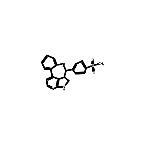 CS(=O)(=O)c1ccc(C2Nc3ccccc3-c3ccnc4c3C2CN4)cc1